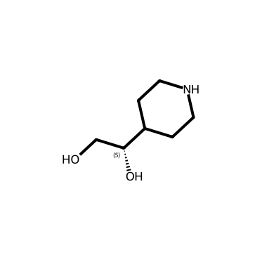 OC[C@@H](O)C1CCNCC1